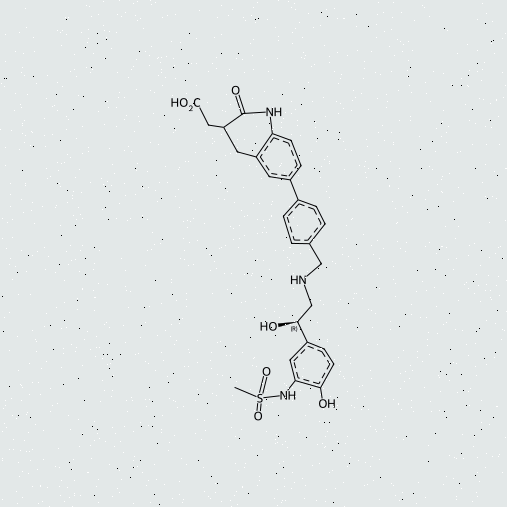 CS(=O)(=O)Nc1cc([C@@H](O)CNCc2ccc(-c3ccc4c(c3)CC(CC(=O)O)C(=O)N4)cc2)ccc1O